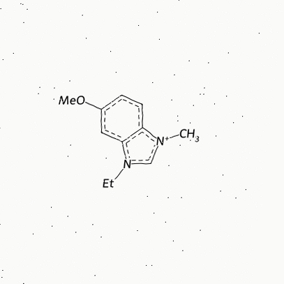 CCn1c[n+](C)c2ccc(OC)cc21